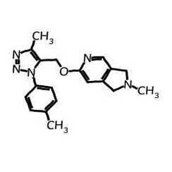 Cc1ccc(-n2nnc(C)c2COc2cc3c(cn2)CN(C)C3)cc1